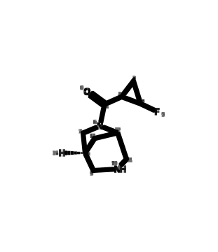 O=C(C1CC1F)N1C[C@@H]2CNCC1C2